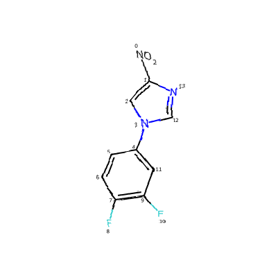 O=[N+]([O-])c1cn(-c2ccc(F)c(F)c2)cn1